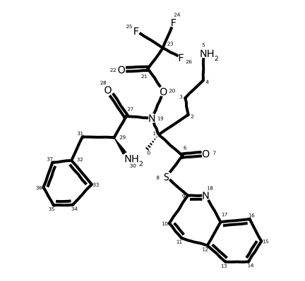 C[C@](CCCN)(C(=O)Sc1ccc2ccccc2n1)N(OC(=O)C(F)(F)F)C(=O)[C@@H](N)Cc1ccccc1